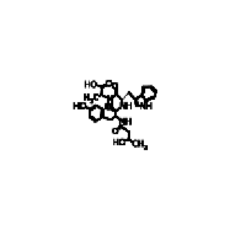 CC(O)CC(=O)N[C@@H](Cc1ccc(O)cc1)C(=O)N[C@@H](Cc1c[nH]c2ccccc12)C(=O)N[C@@H](C)C(=O)O